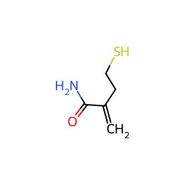 C=C(CCS)C(N)=O